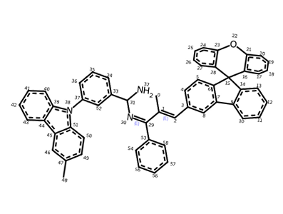 CC(=C\c1ccc2c(c1)-c1ccccc1C21c2ccccc2Oc2ccccc21)/C(=N\C(N)c1cccc(-n2c3ccccc3c3cc(C)ccc32)c1)c1ccccc1